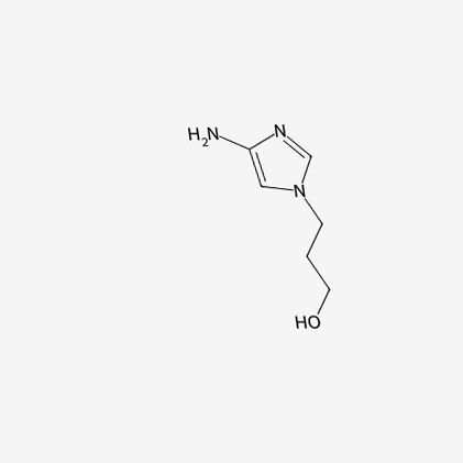 Nc1cn(CCCO)cn1